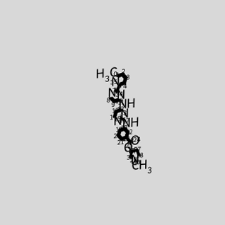 Cc1cccc(-c2nccc(Nc3ccnc(Nc4cccc(C(=O)O[C@H]5CCN(C)C5)c4)n3)n2)n1